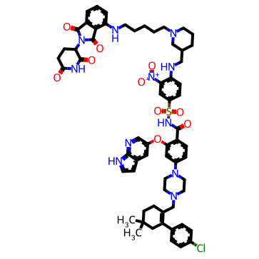 CC1(C)CCC(CN2CCN(c3ccc(C(=O)NS(=O)(=O)c4ccc(NCC5CCCN(CCCCCNc6cccc7c6C(=O)N(C6CCC(=O)NC6=O)C7=O)C5)c([N+](=O)[O-])c4)c(Oc4cnc5[nH]ccc5c4)c3)CC2)=C(c2ccc(Cl)cc2)C1